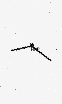 CCCC/C=C/CCCCCCCC(=O)NCCN1CCN=C1CCCCCCC/C=C/CCCCCC